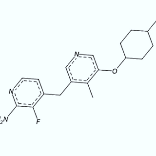 Cc1c(Cc2ccnc(N)c2F)cncc1OC1CCC(C)CC1